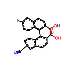 N#Cc1ccc2c(-c3c(C(=O)O)ccc4cc(I)ccc34)c(C(=O)O)ccc2c1